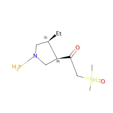 CC[C@@H]1CN(P)C[C@@H]1C(=O)C[SH](C)(C)=O